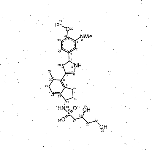 CNc1cc(C2NC=C(C3=C4CC[C@H](NS(=O)(=O)C[C@@H](O)CCO)C4=CCC3C)S2)ccc1OC(C)C